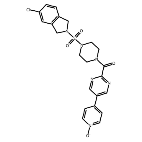 O=C(c1ncc(-c2cc[n+]([O-])cc2)cn1)N1CCN(S(=O)(=O)N2Cc3ccc(Cl)cc3C2)CC1